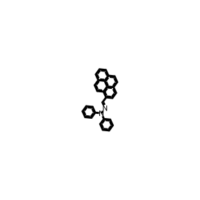 C(=NN(c1ccccc1)c1ccccc1)c1ccc2ccc3cccc4ccc1c2c34